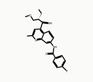 CC[C@@H](COC)C(=N)c1cc(C)nc2cc(NC(=O)c3ccc(F)cc3)ccc12